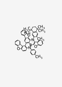 Cc1ccc(N2B3c4oc5ccccc5c4N(c4cc5c(cc4C)C(C)(C)CCC5(C)C)c4c3c(cc3c4oc4ccccc43)-c3c2ccc2oc4ccccc4c32)cc1